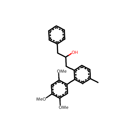 COc1cc(OC)c(-c2[c]c(C)ccc2CC(O)Cc2ccccc2)cc1OC